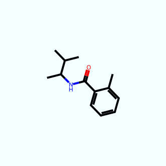 Cc1ccccc1C(=O)NC(C)C(C)C